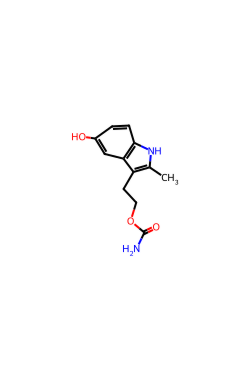 Cc1[nH]c2ccc(O)cc2c1CCOC(N)=O